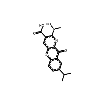 CC(C)c1ccc2oc3cc(C(=O)O)c(N(C)O)nc3c(=O)c2c1